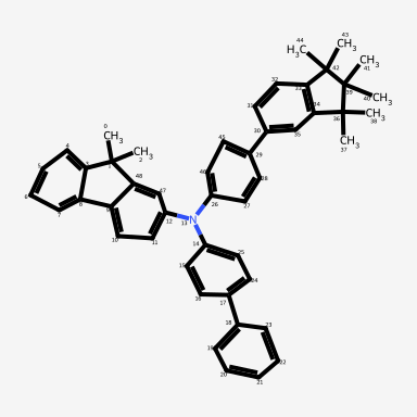 CC1(C)c2ccccc2-c2ccc(N(c3ccc(-c4ccccc4)cc3)c3ccc(-c4ccc5c(c4)C(C)(C)C(C)(C)C5(C)C)cc3)cc21